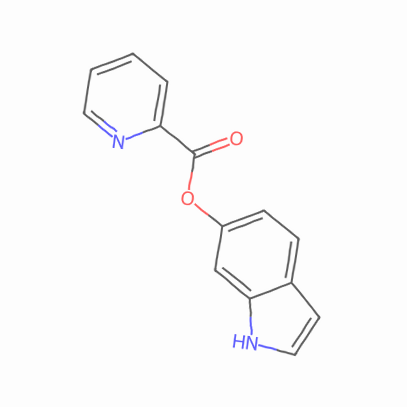 O=C(Oc1ccc2cc[nH]c2c1)c1ccccn1